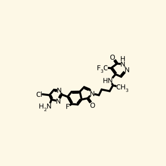 CC(CCCn1ccc2cc(-c3ncc(Cl)c(N)n3)c(F)cc2c1=O)Nc1cn[nH]c(=O)c1C(F)(F)F